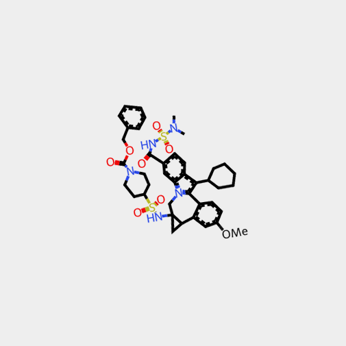 COc1ccc2c(c1)C1CC1(NS(=O)(=O)C1CCN(C(=O)OCc3ccccc3)CC1)Cn1c-2c(C2CCCCC2)c2ccc(C(=O)NS(=O)(=O)N(C)C)cc21